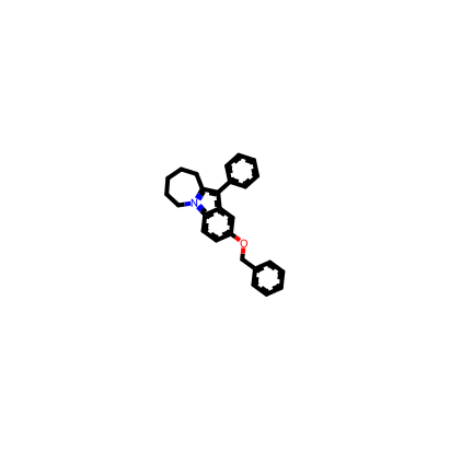 c1ccc(COc2ccc3c(c2)c(-c2ccccc2)c2n3CCCCC2)cc1